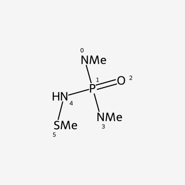 CNP(=O)(NC)NSC